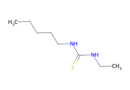 CCCCCNC(=S)NCC